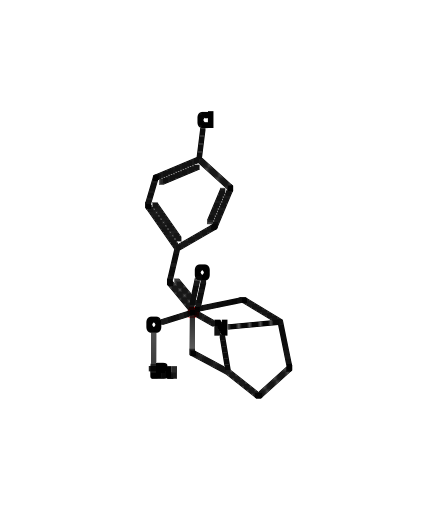 CC(C)(C)OC(=O)N1C2CCC1CC(=Cc1ccc(Cl)cc1)C2